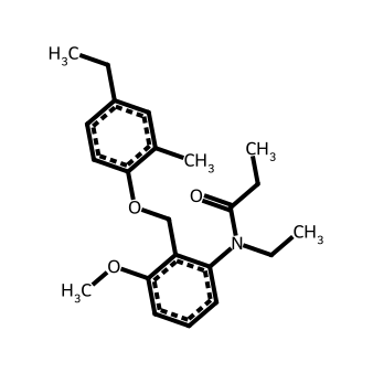 CCC(=O)N(CC)c1cccc(OC)c1COc1ccc(CC)cc1C